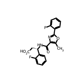 Cc1oc(-c2ccccc2F)nc1C(=O)N[C@@H](CC(=O)O)c1ccccc1F